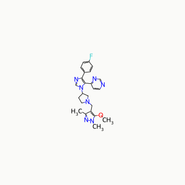 COc1c(CN2CCC(n3cnc(-c4ccc(F)cc4)c3-c3ccncn3)C2)c(C)nn1C